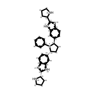 c1ccc(N2[C@@H](c3ccc4nc(C5CCCN5)[nH]c4c3)CC[C@@H]2c2ccc3nc([C@@H]4CCCN4)[nH]c3c2)cc1